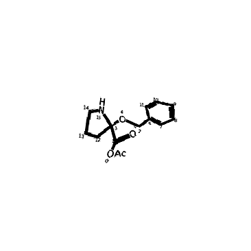 CC(=O)OC(=O)[C@]1(OCc2ccccc2)CCCN1